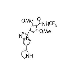 COc1cc(-c2cnc3cc(C4CCCNC4)ccn23)cc(OC)c1C(=O)NCC(F)(F)F